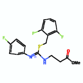 COC(=O)CCN/C(=N/c1ccc(F)cc1)SCc1c(F)cccc1F